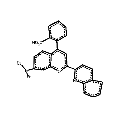 CCN(CC)c1ccc2c(-c3ccccc3C(=O)O)cc(-c3ccc4ccccc4n3)[o+]c2c1